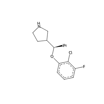 CC(C)[C@@H](Oc1cccc(F)c1Cl)C1CCNC1